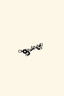 Clc1ccc2c(NCCCNc3ccnc(Cl)n3)ccnc2c1